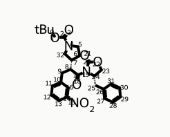 CC(C)(C)OC(=O)N1CC[C@H](C(Cc2cccc([N+](=O)[O-])c2)C(=O)N2C(=O)OC[C@@H]2Cc2ccccc2)C1